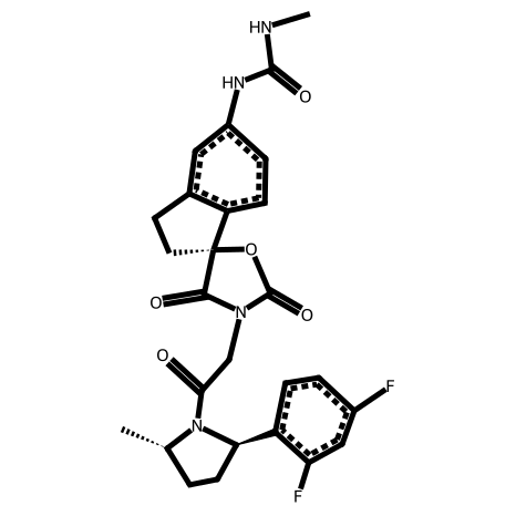 CNC(=O)Nc1ccc2c(c1)CC[C@@]21OC(=O)N(CC(=O)N2[C@@H](c3ccc(F)cc3F)CC[C@@H]2C)C1=O